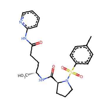 Cc1ccc(S(=O)(=O)N2CCC[C@H]2C(=O)N[C@@H](CCC(=O)Nc2ccccn2)C(=O)O)cc1